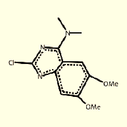 COc1cc2nc(Cl)nc(N(C)C)c2cc1OC